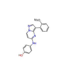 COc1ccccc1-c1cnn2ccc(Nc3ccc(O)cc3)nc12